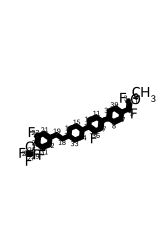 CO/C(F)=C(\F)c1ccc(-c2ccc(C3CCC(CCc4cc(F)c(OC(F)(F)F)c(F)c4)CC3)c(F)c2)cc1